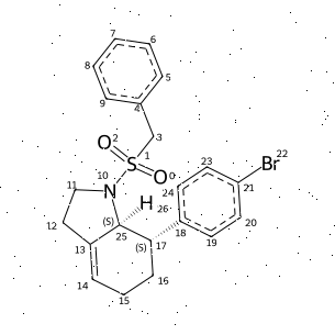 O=S(=O)(Cc1ccccc1)N1CCC2=CCC[C@@H](c3ccc(Br)cc3)[C@@H]21